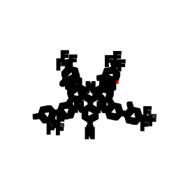 Cc1ccc(-c2ccc3c(c2)c2cc(-c4ccc(C(F)(F)F)cc4C)ccc2n3-c2cc(C#N)cc(-n3c4ccc(-c5ccc(C(F)(F)F)cc5C)cc4c4cc(-c5ccc(C(F)(F)F)cc5C)ccc43)c2-c2cc(-c3ccccc3)nc(-c3ccccc3)c2)c(C(F)(F)F)c1